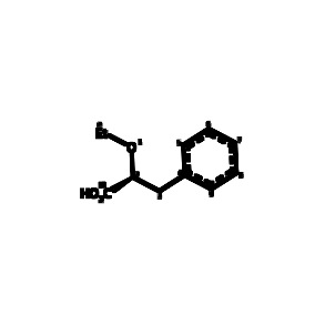 CCO[C@@H](Cc1ccccc1)C(=O)O